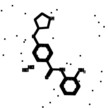 Cl.Cl.Nc1ccccc1NC(=O)c1ccc(OC2CCNC2)cc1